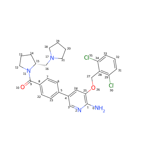 Nc1ncc(-c2ccc(C(=O)N3CCC[C@@H]3CN3CCCC3)cc2)cc1OCc1c(Cl)cccc1Cl